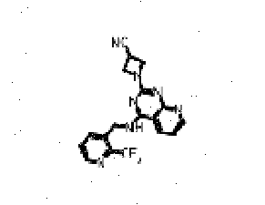 N#CC1CN(c2nc(NCc3cccnc3C(F)(F)F)c3cccnc3n2)C1